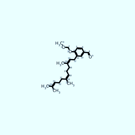 COCOc1ccc(C=O)cc1CC=C(C)CCC=C(C)CCC=C(C)C